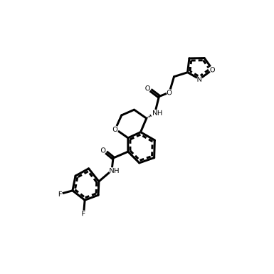 O=C(N[C@H]1CCOc2c(C(=O)Nc3ccc(F)c(F)c3)cccc21)OCc1ccon1